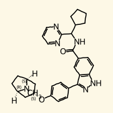 CN1[C@@H]2CC[C@H]1C[C@H](Oc1ccc(-c3n[nH]c4ccc(C(=O)NC(c5ncccn5)C5CCCC5)cc34)cc1)C2